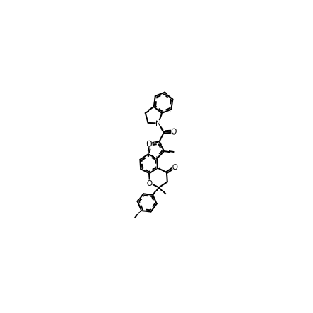 Cc1ccc(C2(C)CC(=O)c3c(ccc4oc(C(=O)N5CCc6ccccc65)c(C)c34)O2)cc1